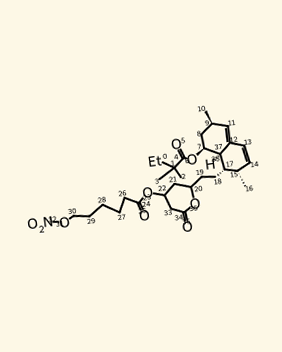 CCC(C)(C)C(=O)O[C@H]1C[C@@H](C)C=C2C=C[C@H](C)[C@H](CCC3CC(OC(=O)CCCCCO[N+](=O)[O-])CC(=O)O3)[C@H]21